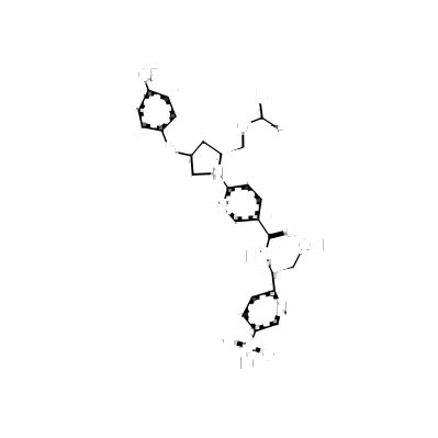 CCS(=O)(=O)c1ccc([C@H](CO)NC(=O)c2ccc(N3CC(Oc4ccc(C(F)(F)F)cc4)C[C@H]3COC(F)F)nc2)nc1